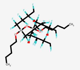 CCCCC[O][Sn]([O][Sn]([O]CCCCC)([C](F)(F)C(F)(F)C(F)(F)CF)[C](F)(F)C(F)(F)C(F)(F)CF)([C](F)(F)C(F)(F)C(F)(F)CF)[C](F)(F)C(F)(F)C(F)(F)CF